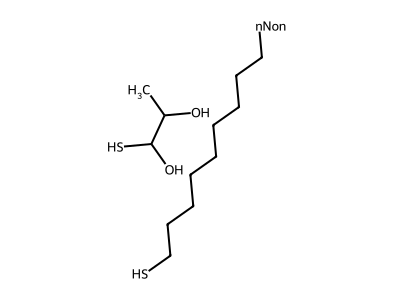 CC(O)C(O)S.CCCCCCCCCCCCCCCCCCS